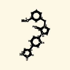 COc1cccc(Cn2ccn(-c3ccc(-c4cn[nH]c4)cn3)c2=O)c1